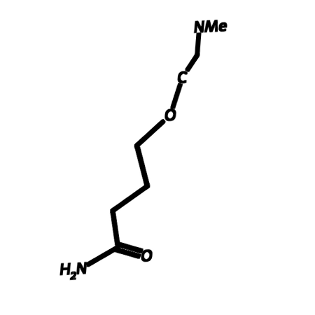 CNCCOCCCC(N)=O